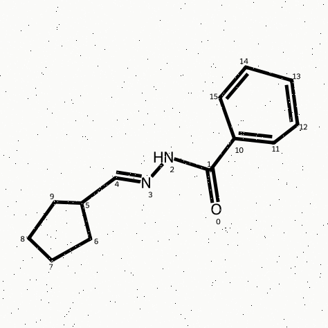 O=C(N/N=C/C1CCCC1)c1ccccc1